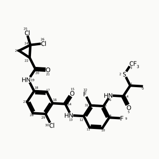 CC(SC(F)(F)F)C(=O)Nc1c(F)ccc(NC(=O)c2cc(NC(=O)C3CC3(Cl)Cl)ccc2Cl)c1F